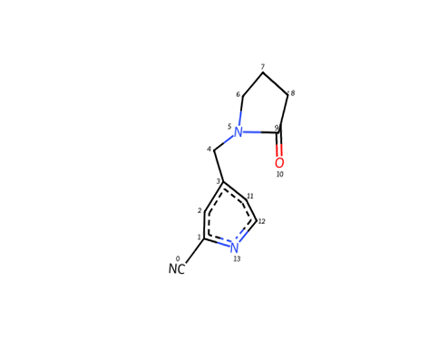 N#Cc1cc(CN2CC[CH]C2=O)ccn1